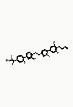 C=CCCc1c(F)cc(-c2ccc(CCc3ccc(-c4ccc(/C(F)=C(\F)CCCC)cc4F)cc3F)cc2F)cc1F